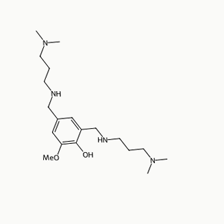 COc1cc(CNCCCN(C)C)cc(CNCCCN(C)C)c1O